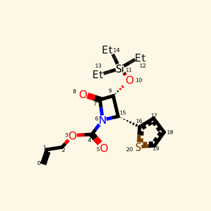 C=CCOC(=O)N1C(=O)[C@H](O[Si](CC)(CC)CC)[C@@H]1c1cccs1